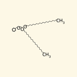 CCCCCCCCCCCCCCCCCCCCOC[C@@H](COCc1ccccc1)OCCCCCCCCCCCCCCCCCCCC